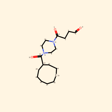 O=CCCC(=O)N1CCN(C(=O)C2CCCCCCCC2)CC1